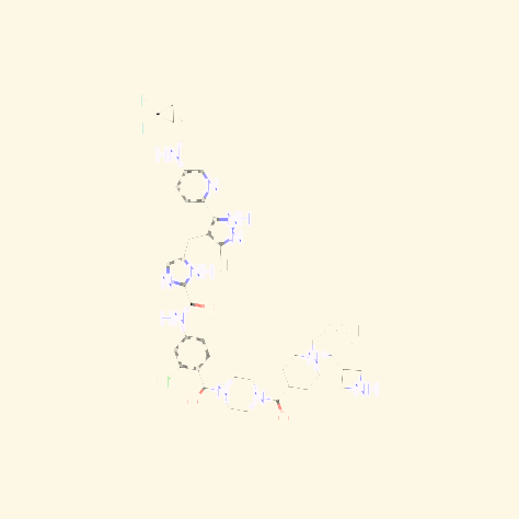 O=C(O)C[N+]1(CC2CNC2)CCC(C(=O)N2CCN(C(=O)c3ccc(NC(=O)c4ncc(Cc5c(C(F)(F)F)n[nH]c5-c5ccc(NC[C@H]6CC6(F)F)cn5)[nH]4)cc3Cl)CC2)CC1